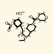 CCN(CC1CCN(C(=O)N2CCOCC2)CC1)[C@@H](C)Cc1cccc([N+](=O)[O-])c1.Cl